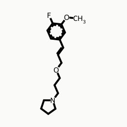 COc1cc(C=CCOCCCN2CCCC2)ccc1F